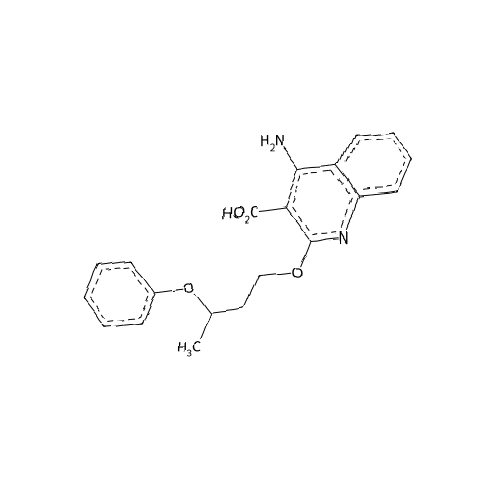 CC(CCOc1nc2ccccc2c(N)c1C(=O)O)Oc1ccccc1